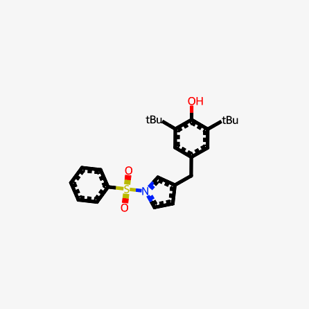 CC(C)(C)c1cc(Cc2ccn(S(=O)(=O)c3ccccc3)c2)cc(C(C)(C)C)c1O